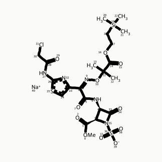 COC(=O)[C@H]1[C@@H](NC(=O)C(=NOC(C)(C)C(=O)OCC[Si](C)(C)C)c2csc(NC(=O)CCl)n2)C(=O)N1S(=O)(=O)[O-].[Na+]